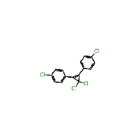 Clc1ccc(C2=C(c3ccc(Cl)cc3)C2(Cl)Cl)cc1